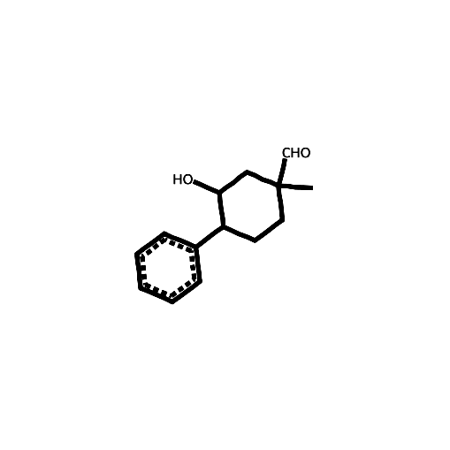 CC1(C=O)CCC(c2ccccc2)C(O)C1